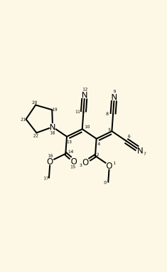 COC(=O)C(=C(C#N)C#N)/C(C#N)=C(\C(=O)OC)N1CCCC1